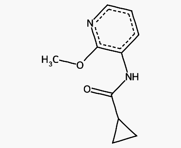 COc1ncccc1NC(=O)C1CC1